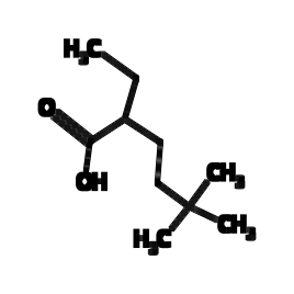 CCC(CCC(C)(C)C)C(=O)O